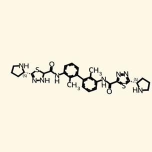 Cc1c(NC(=O)c2nnc([C@@H]3CCCN3)s2)cccc1-c1cccc(NC(=O)C2NN=C([C@@H]3CCCN3)S2)c1C